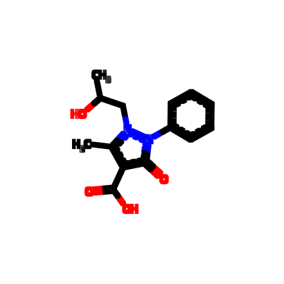 Cc1c(C(=O)O)c(=O)n(-c2ccccc2)n1CC(C)O